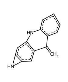 C=C1c2ccccc2Nc2cc3c(cc21)N3